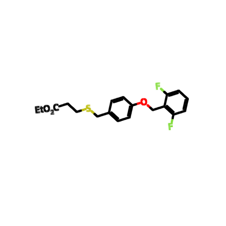 CCOC(=O)CCSCc1ccc(OCc2c(F)cccc2F)cc1